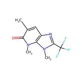 Cc1cc2nc(C(F)(F)F)n(C)c2n(C)c1=O